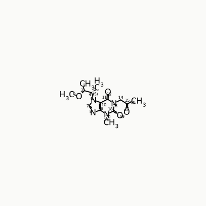 COC(C)[C@H](C)n1cnc2c1c(=O)n(CC(C)=O)c(=O)n2C